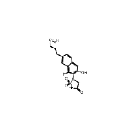 O=C(O)CCCc1ccc2cc(O)c(N3CC(=O)NS3(=O)=O)c(F)c2c1